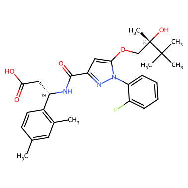 Cc1ccc([C@H](CC(=O)O)NC(=O)c2cc(OC[C@](C)(O)C(C)(C)C)n(-c3ccccc3F)n2)c(C)c1